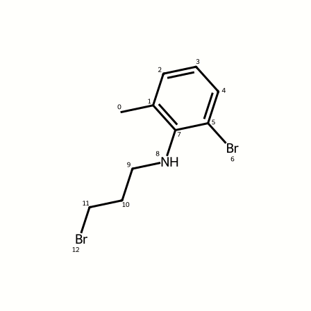 Cc1cccc(Br)c1NCCCBr